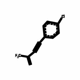 C=C(C#Cc1ccc(Cl)cc1)C(F)(F)F